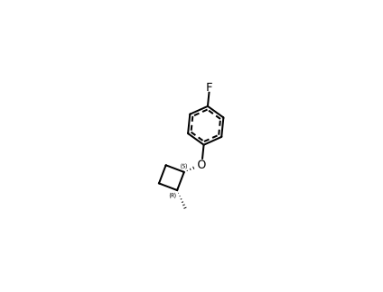 C[C@@H]1CC[C@@H]1Oc1ccc(F)cc1